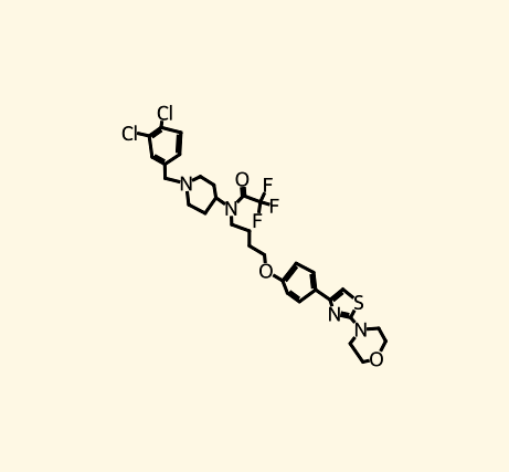 O=C(N(CCCCOc1ccc(-c2csc(N3CCOCC3)n2)cc1)C1CCN(Cc2ccc(Cl)c(Cl)c2)CC1)C(F)(F)F